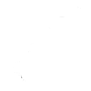 CCCCCOCCCCOCC1CC[C@H](C)C1